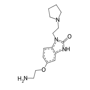 NCCOc1ccc2c(c1)[nH]c(=O)n2CCN1CCCC1